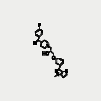 Cn1nc(-c2cccc(OCC(O)CN3CCC(C(=O)c4ccc(F)cc4)CC3)c2)c2sccc21